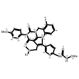 CCN(C)Cc1c(-c2ccc(NC(=O)NOC)nc2)sc2c1c(=O)n(-c1ccc(OC)nn1)c(=O)n2Cc1c(F)cccc1F